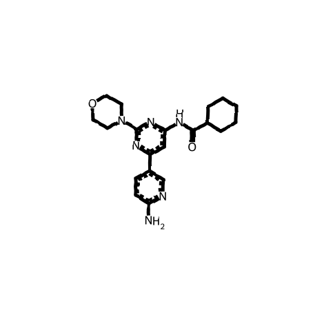 Nc1ccc(-c2cc(NC(=O)C3CCCCC3)nc(N3CCOCC3)n2)cn1